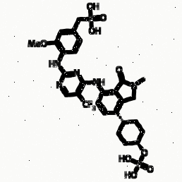 COc1cc(CP(=O)(O)O)ccc1Nc1ncc(C(F)(F)F)c(Nc2ccc([C@H]3CC[C@H](OP(=O)(O)O)CC3)c3c2C(=O)N(C)C3)n1